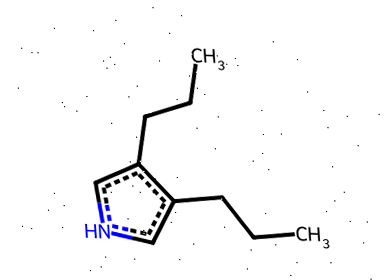 CCCc1c[nH]cc1CCC